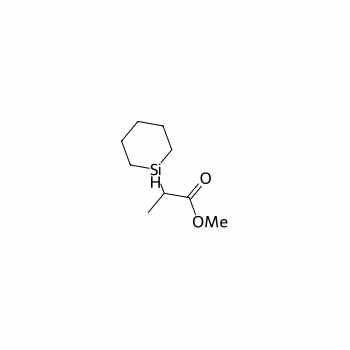 COC(=O)C(C)[SiH]1CCCCC1